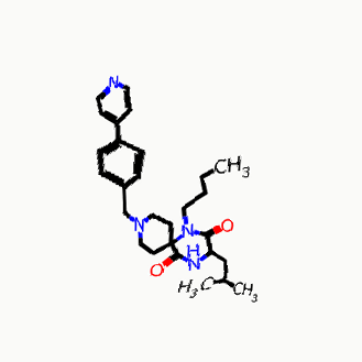 CCCCN1C(=O)C(CC(C)C)NC(=O)C12CCN(Cc1ccc(-c3ccncc3)cc1)CC2